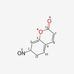 O=NC1C=c2oc(=O)ccc2=CC1